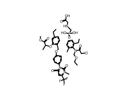 CCOCN(C(=O)CCl)c1c(C)cccc1CC.CCc1ccc(COc2ccc(-n3c(=O)cc(C(F)(F)F)n(C)c3=O)cc2)c(OC(C)C(=O)OC)c1.O=C(O)CNCP(=O)(O)O